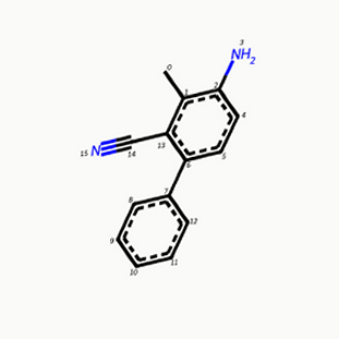 Cc1c(N)ccc(-c2ccccc2)c1C#N